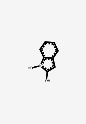 Oc1[c]c2ccccc2n1O